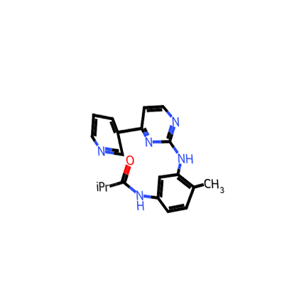 Cc1ccc(NC(=O)C(C)C)cc1Nc1nccc(-c2cccnc2)n1